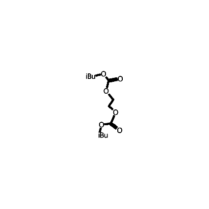 CCC(C)OC(=O)OCCOC(=O)OC(C)CC